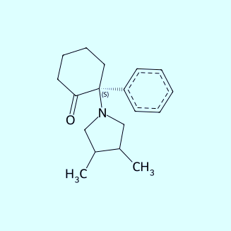 CC1CN([C@]2(c3ccccc3)CCCCC2=O)CC1C